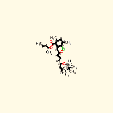 C=CC[C@@H](C)OC(=O)c1c(C)cc(C)c(Cl)c1CC(=O)/C=C/C[C@@H](/C=C/C)O[Si](C)(C)C(C)(C)C